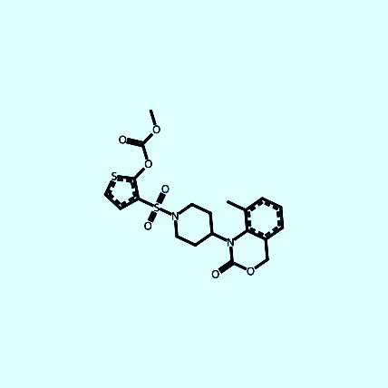 COC(=O)Oc1sccc1S(=O)(=O)N1CCC(N2C(=O)OCc3cccc(C)c32)CC1